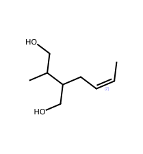 C/C=C\CC(CO)C(C)CO